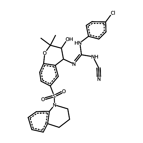 CC1(C)Oc2ccc(S(=O)(=O)N3CCCc4ccccc43)cc2C(/N=C(/NC#N)Nc2ccc(Cl)cc2)C1O